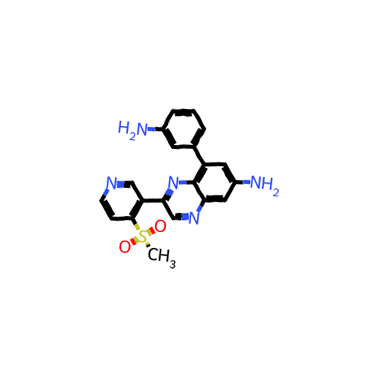 CS(=O)(=O)c1ccncc1-c1cnc2cc(N)cc(-c3cccc(N)c3)c2n1